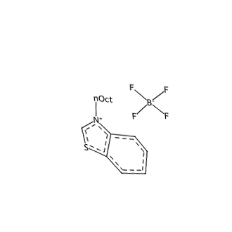 CCCCCCCC[n+]1csc2ccccc21.F[B-](F)(F)F